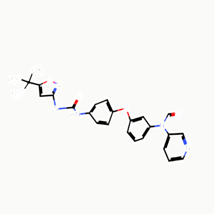 CC(C)(C)c1cc(NC(=O)Nc2ccc(Oc3cccc(N(C=O)c4cccnc4)c3)cc2)no1